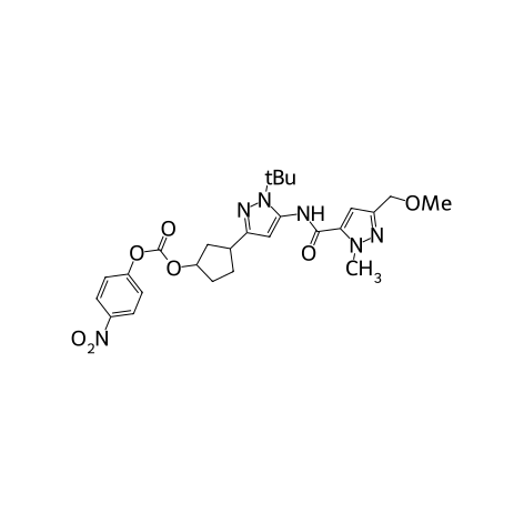 COCc1cc(C(=O)Nc2cc(C3CCC(OC(=O)Oc4ccc([N+](=O)[O-])cc4)C3)nn2C(C)(C)C)n(C)n1